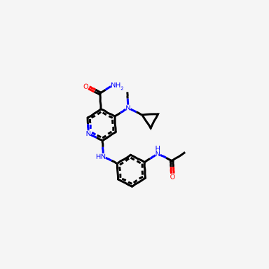 CC(=O)Nc1cccc(Nc2cc(N(C)C3CC3)c(C(N)=O)cn2)c1